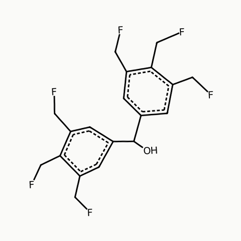 OC(c1cc(CF)c(CF)c(CF)c1)c1cc(CF)c(CF)c(CF)c1